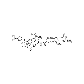 CCN(CC)c1ccc2cc(C3=CC4(c5ccc(N(C)C)cc5O3)c3cc(C(=O)NCC(=O)NCCOc5c(OC)cc(Cc6cnc(N)nc6N)cc5OC)ccc3C(=O)N4S(N)(=O)=O)c(=O)oc2c1